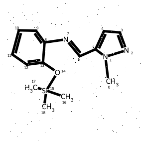 Cn1nccc1C=Nc1ccccc1O[Si](C)(C)C